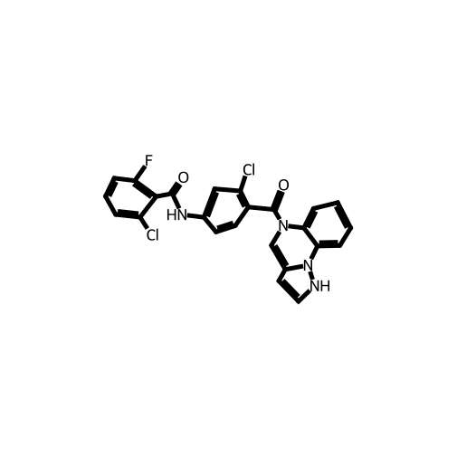 O=C(Nc1ccc(C(=O)N2C=C3C=CNN3c3ccccc32)c(Cl)c1)c1c(F)cccc1Cl